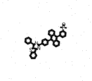 CP(C)(=O)c1cccc(-c2c3ccccc3c(-c3ccc(-c4nc(-c5ccccc5)c5sc6ccccc6c5n4)cc3)c3ccccc23)c1